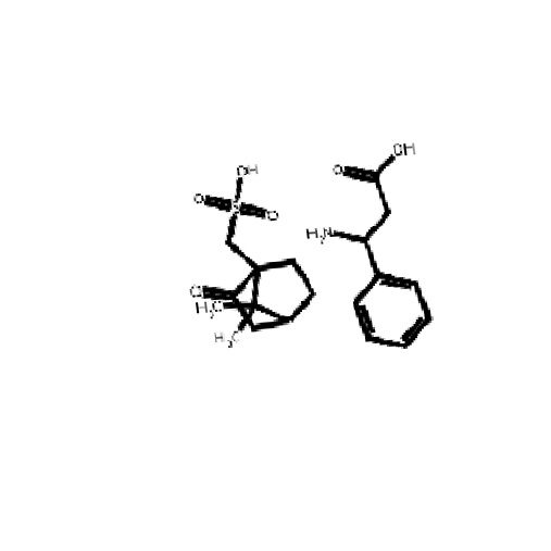 CC1(C)C2CCC1(CS(=O)(=O)O)C(=O)C2.NC(CC(=O)O)c1ccccc1